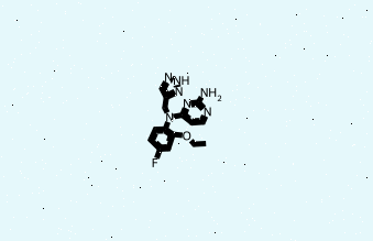 CCOc1cc(F)ccc1N(Cc1cn[nH]n1)c1ccnc(N)n1